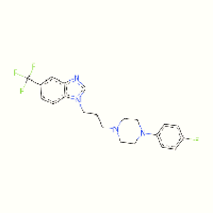 Fc1ccc(N2CCN(CCCn3cnc4cc(C(F)(F)F)ccc43)CC2)cc1